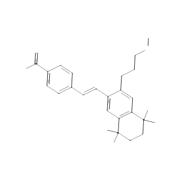 C=C(O)c1ccc(/C=C/c2cc3c(cc2CCCOC)C(C)(C)CCC3(C)C)cc1